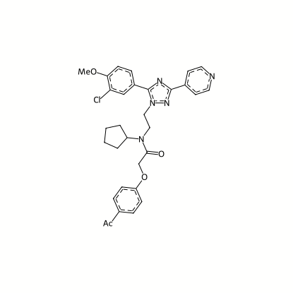 COc1ccc(-c2nc(-c3ccncc3)nn2CCN(C(=O)COc2ccc(C(C)=O)cc2)C2CCCC2)cc1Cl